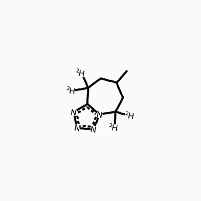 [2H]C1([2H])CC(C)CC([2H])([2H])n2nnnc21